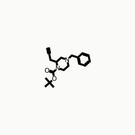 C#CCC1CN(Cc2ccccc2)CCN1C(=O)OC(C)(C)C